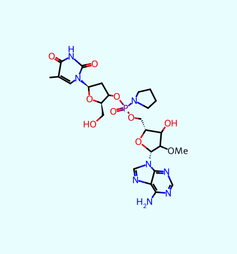 COC1C(O)[C@@H](COP(=O)(OC2C[C@H](n3cc(C)c(=O)[nH]c3=O)O[C@@H]2CO)N2CCCC2)O[C@H]1n1cnc2c(N)ncnc21